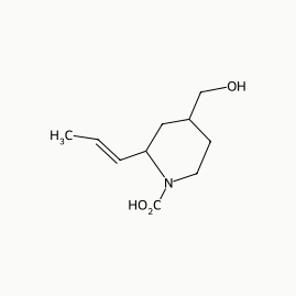 CC=CC1CC(CO)CCN1C(=O)O